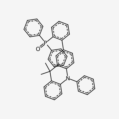 CC1(C)c2ccccc2N(c2ccccc2)c2ccc(-c3ccccc3P(=O)(c3ccccc3)c3ccccc3)cc21